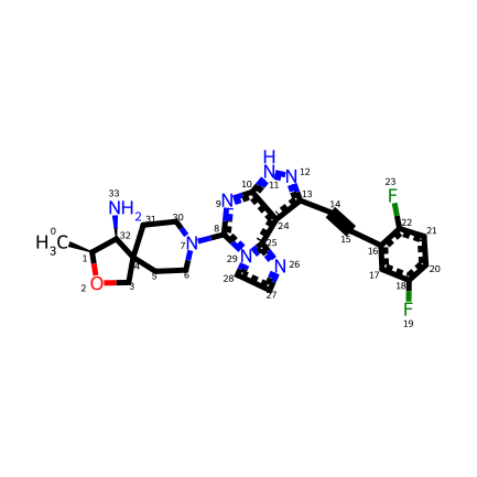 C[C@@H]1OCC2(CCN(c3nc4[nH]nc(C#Cc5cc(F)ccc5F)c4c4nccn34)CC2)[C@@H]1N